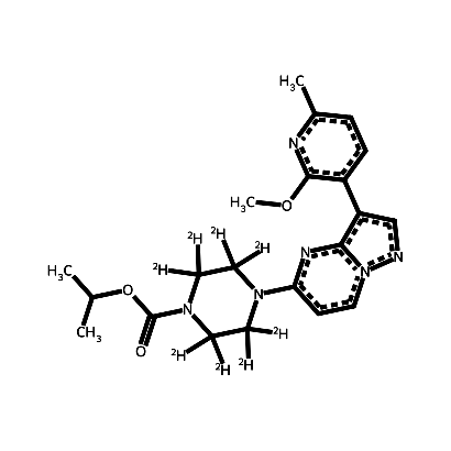 [2H]C1([2H])N(C(=O)OC(C)C)C([2H])([2H])C([2H])([2H])N(c2ccn3ncc(-c4ccc(C)nc4OC)c3n2)C1([2H])[2H]